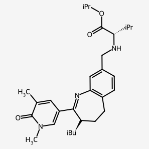 CC[C@H](C)C1CCc2ccc(CN[C@H](C(=O)OC(C)C)C(C)C)cc2N=C1c1cc(C)c(=O)n(C)c1